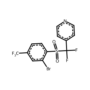 O=S(=O)(c1ccc(C(F)(F)F)cc1Br)C(F)(F)c1ccncc1